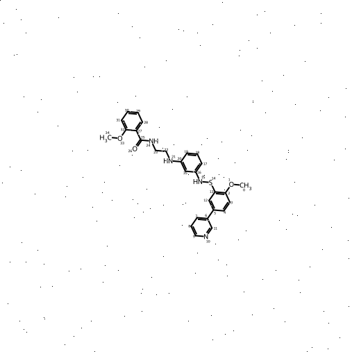 COc1ccc(-c2cccnc2)cc1SNc1cccc(NCCNC(=O)c2ccccc2OC)c1